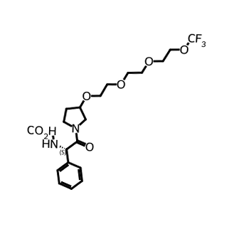 O=C(O)N[C@H](C(=O)N1CCC(OCCOCCOCCOC(F)(F)F)C1)c1ccccc1